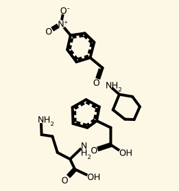 NC1CCCCC1.NCCCC(N)C(=O)O.O=C(O)Cc1ccccc1.O=Cc1ccc([N+](=O)[O-])cc1